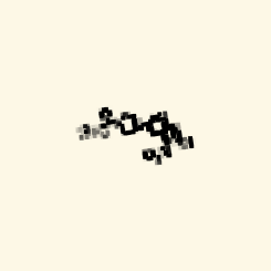 CCn1nc2ncc(N3CCN(C(=O)OC(C)(C)C)CC3)cc2c1[N+](=O)[O-]